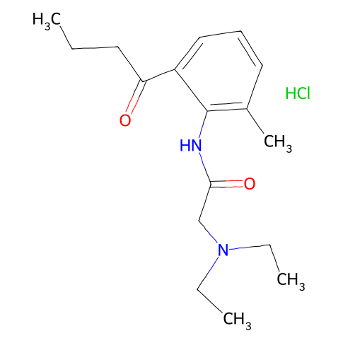 CCCC(=O)c1cccc(C)c1NC(=O)CN(CC)CC.Cl